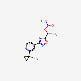 C[C@H](OC(N)=O)c1nc(-c2ccnc(C3(C)CC3)c2)no1